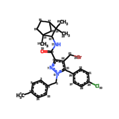 Cc1ccc(Cn2nc(C(=O)NC3C4(C)CCC(C4)C3(C)C)c(CBr)c2-c2ccc(Cl)cc2)cc1